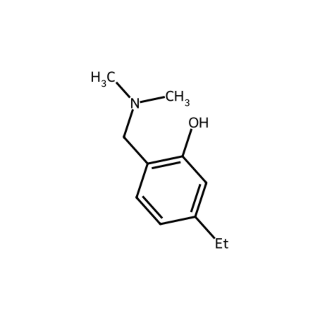 CCc1ccc(CN(C)C)c(O)c1